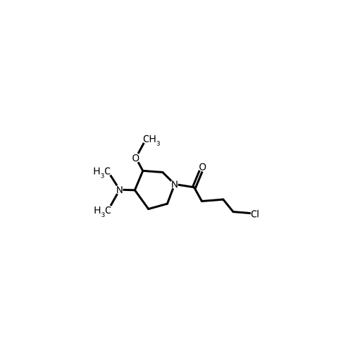 COC1CN(C(=O)CCCCl)CCC1N(C)C